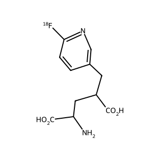 NC(CC(Cc1ccc([18F])nc1)C(=O)O)C(=O)O